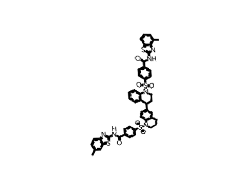 Cc1ccc2nc(NC(=O)c3ccc(S(=O)(=O)N4CCCc5cc(C6CCN(S(=O)(=O)c7ccc(C(=O)Nc8nc9c(C)cccc9s8)cc7)c7ccccc76)ccc54)cc3)sc2c1